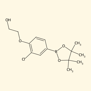 CC1(C)OB(c2ccc(OCCO)c(Cl)c2)OC1(C)C